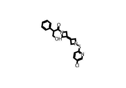 O=C(C(CO)c1ccccc1)N1CC(=C2CN(Sc3ccc(Cl)cn3)C2)C1